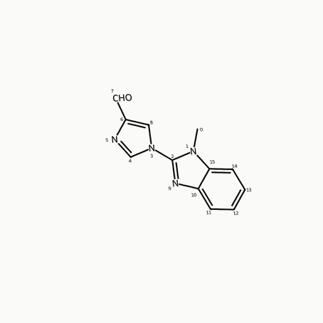 Cn1c(-n2cnc(C=O)c2)nc2ccccc21